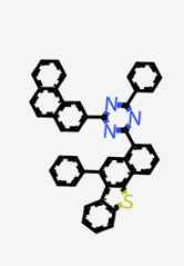 c1ccc(-c2nc(-c3ccc4ccc5ccccc5c4c3)nc(-c3cccc4c3cc(-c3ccccc3)c3c5ccccc5sc43)n2)cc1